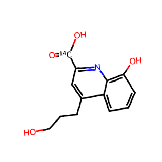 O=[14C](O)c1cc(CCCO)c2cccc(O)c2n1